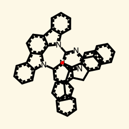 c1ccc(-c2nc(-c3ccccc3)nc(-n3c4ccccc4c4ccc5c6ccccc6n(-c6cc(-c7ccccc7)c7c(c6)-c6ccccc6C7)c5c43)n2)cc1